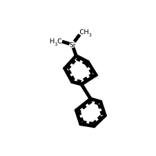 C[Si](C)c1ccc(-c2ccccc2)cc1